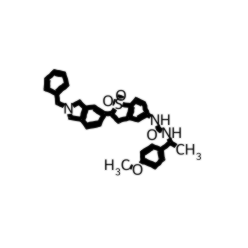 COc1ccc(C(C)NC(=O)Nc2ccc3c(c2)CC(c2ccc4c(c2)CN(Cc2ccccc2)C4)S3(=O)=O)cc1